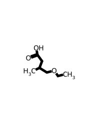 CCOCC(C)CC(=O)O